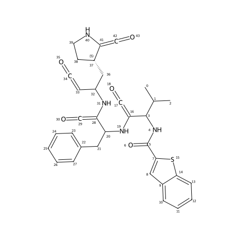 CC(C)C(NC(=O)c1cc2ccccc2s1)C(=C=O)NC(Cc1ccccc1)C(=C=O)NC(C=C=O)C[C@@H]1CCNC1=C=O